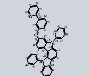 c1ccc(-n2c3ccccc3c3ccc4c(c5ccc(Oc6cccc(-c7ccccn7)c6)cc5n4-c4ccccn4)c32)cc1